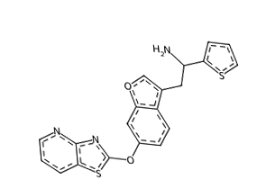 NC(Cc1coc2cc(Oc3nc4ncccc4s3)ccc12)c1cccs1